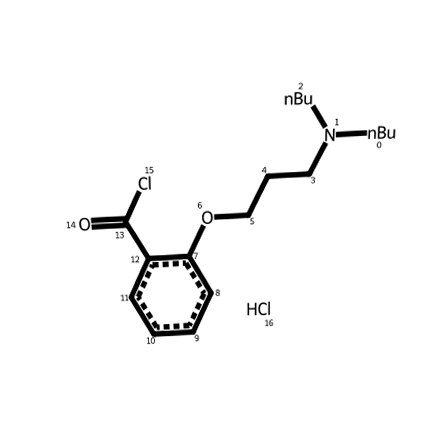 CCCCN(CCCC)CCCOc1ccccc1C(=O)Cl.Cl